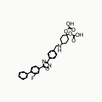 O=C(O)OC1(OC(=O)O)CCC(NCc2ccc(-c3noc(-c4ccc(-c5ccccc5)c(F)c4)n3)cc2)CC1